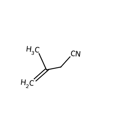 C=C(C)CC#N